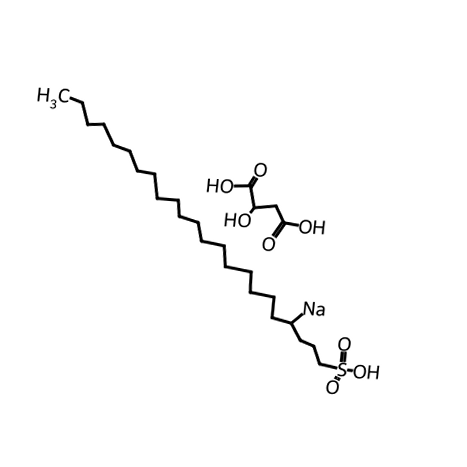 CCCCCCCCCCCCCCCCCCC[CH]([Na])CCCS(=O)(=O)O.O=C(O)CC(O)C(=O)O